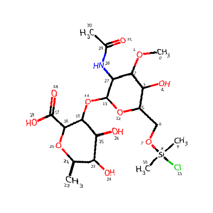 COC1C(O)C(CO[Si](C)(C)Cl)OC(OC2C(C(=O)O)OC(C)C(O)C2O)C1NC(C)=O